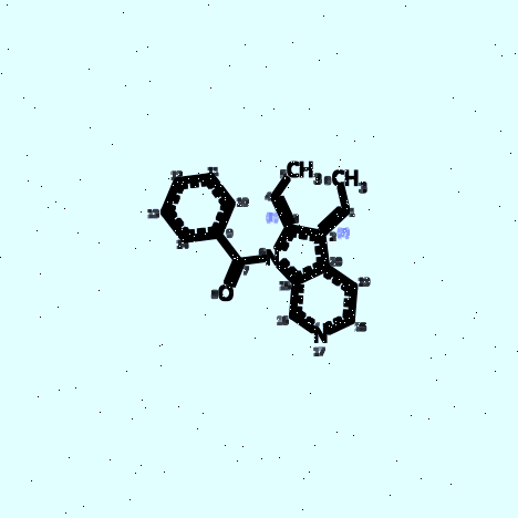 C/C=c1\c(=C/C)n(C(=O)c2ccccc2)c2cnccc12